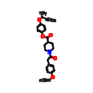 CCCCCCCCCCOc1ccc(CC(=O)N2CCC(C(=O)Oc3ccc(OC(CCC)CCCCCC)cc3)CC2)cc1